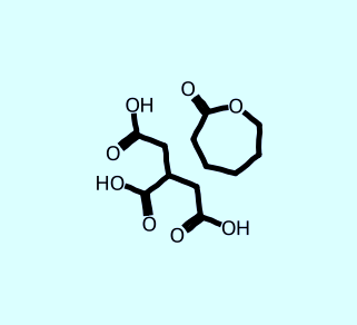 O=C(O)CC(CC(=O)O)C(=O)O.O=C1CCCCCO1